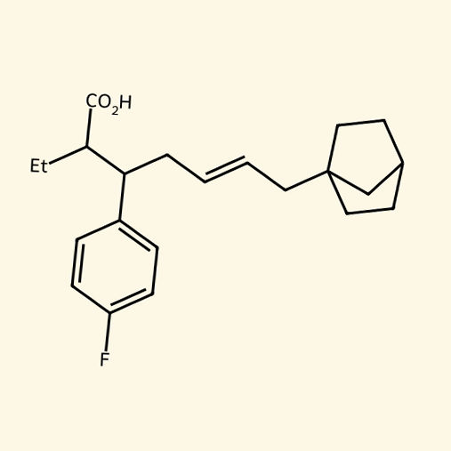 CCC(C(=O)O)C(CC=CCC12CCC(CC1)C2)c1ccc(F)cc1